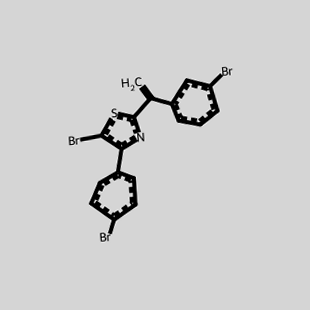 C=C(c1cccc(Br)c1)c1nc(-c2ccc(Br)cc2)c(Br)s1